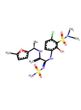 C=C(N[C@@H](c1ccc(C)o1)C(C)(C)C)/C(=N\S(N)(=O)=O)Nc1ccc(Cl)c(S(=O)(=O)N(C)C)c1O